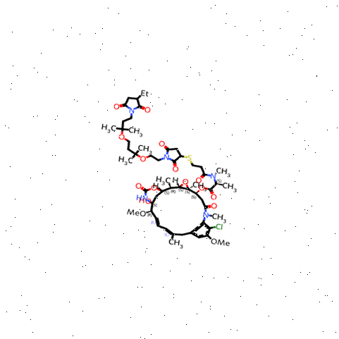 CCC1CC(=O)N(CCC(C)(C)OCCC(C)(C)OCCN2C(=O)CC(SCCC(=O)N(C)[C@@H](C)C(=O)O[C@H]3CC(=O)N(C)c4cc(cc(OC)c4Cl)C/C(C)=C/C=C/[C@@H](OC)[C@@]4(O)C[C@H](OC(=O)N4)[C@@H](C)[C@@H]4O[C@@]34C)C2=O)C1=O